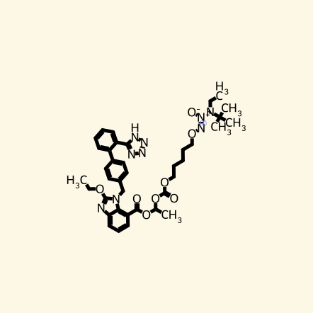 CCOc1nc2cccc(C(=O)OC(C)OC(=O)OCCCCCO/N=[N+](\[O-])N(CC)C(C)(C)C)c2n1Cc1ccc(-c2ccccc2-c2nnn[nH]2)cc1